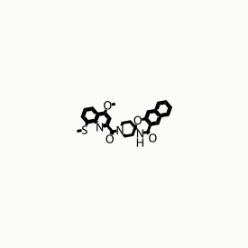 COc1cc(C(=O)N2CCC3(CC2)NC(=O)c2cc4ccccc4cc2O3)nc2c(SC)cccc12